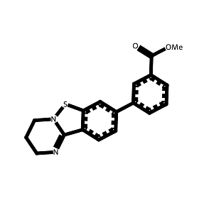 COC(=O)c1cccc(-c2ccc3c(c2)SN2CCCN=C32)c1